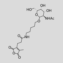 CC(=O)N[C@H]1C(OCCCCCNC(=O)CCC2=C(C)C(=O)OC2=O)O[C@H](CO)[C@H](O)[C@@H]1O